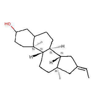 CC=C1C[C@H]2[C@@H]3CCC4CC(O)CC[C@]4(C)[C@H]3CC[C@]2(C)C1